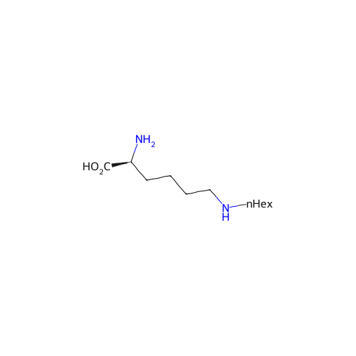 CCCCCCNCCCC[C@H](N)C(=O)O